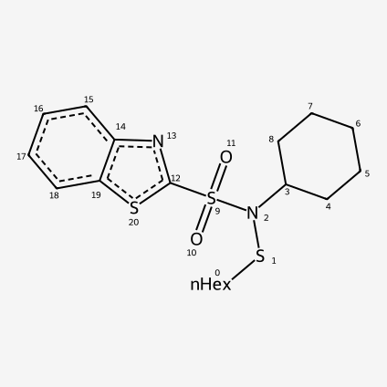 CCCCCCSN(C1CCCCC1)S(=O)(=O)c1nc2ccccc2s1